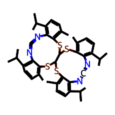 Cc1ccc(C(C)C)c2c1SC1Sc3c(C)ccc(C(C)C)c3N=C=Nc3c(C(C)C)ccc(C)c3SC1Sc1c(C)ccc(C(C)C)c1N=C=N2